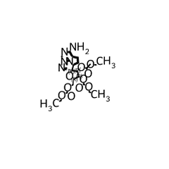 CCOC(=O)OC[C@H]1O[C@@](C#N)(c2ccc3c(N)ncnn23)[C@H](OC(=O)OCC)[C@@H]1OC(=O)OCC